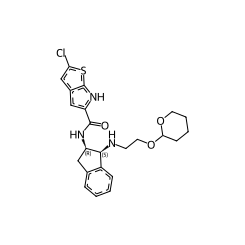 O=C(N[C@@H]1Cc2ccccc2[C@@H]1NCCOC1CCCCO1)c1cc2cc(Cl)sc2[nH]1